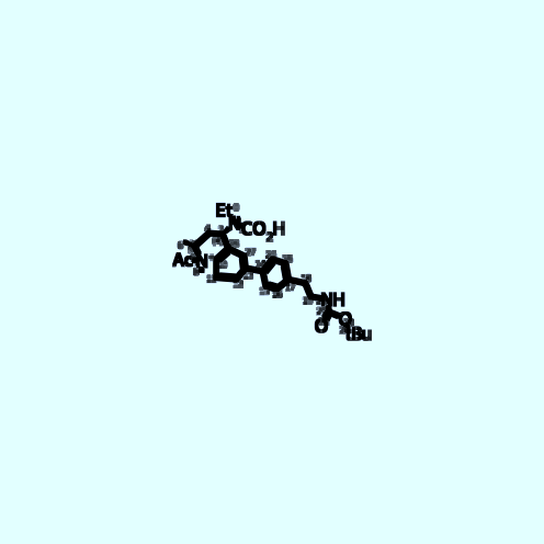 CCN(C(=O)O)[C@@H]1C[C@H](C)[N+](C)(C(C)=O)c2ccc(-c3ccc(CCNC(=O)OC(C)(C)C)cc3)cc21